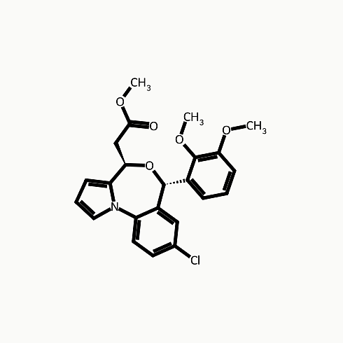 COC(=O)C[C@H]1O[C@H](c2cccc(OC)c2OC)c2cc(Cl)ccc2-n2cccc21